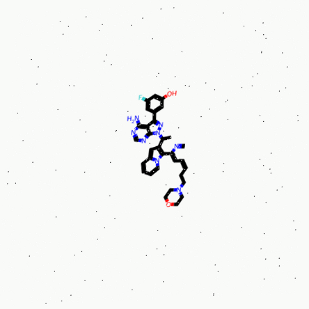 C=N/C(=C\C=C/CCN1CCOCC1)c1c(C(C)n2nc(-c3cc(O)cc(F)c3)c3c(N)ncnc32)cc2ccccn12